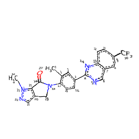 Cc1cc(-c2ncc3cc(C(F)(F)F)ccc3n2)ccc1N1Cc2cnn(C)c2C1=O